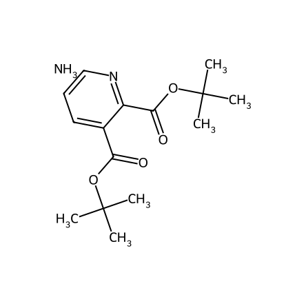 CC(C)(C)OC(=O)c1cccnc1C(=O)OC(C)(C)C.N